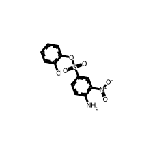 Nc1ccc(S(=O)(=O)Oc2ccccc2Cl)cc1[N+](=O)[O-]